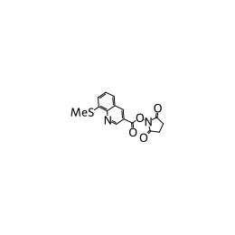 CSc1cccc2cc(C(=O)ON3C(=O)CCC3=O)cnc12